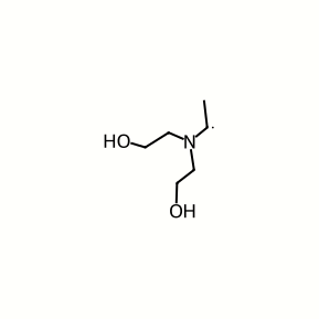 C[CH]N(CCO)CCO